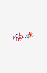 O=C(OCCCN1CCS(=O)(=O)CC1)c1c(I)ccc(I)c1I